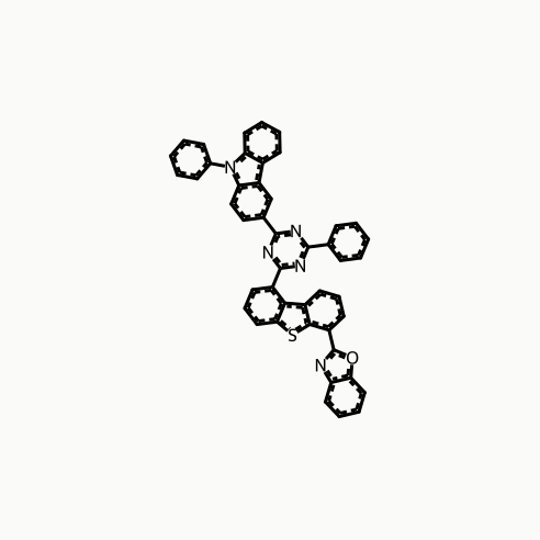 c1ccc(-c2nc(-c3ccc4c(c3)c3ccccc3n4-c3ccccc3)nc(-c3cccc4sc5c(-c6nc7ccccc7o6)cccc5c34)n2)cc1